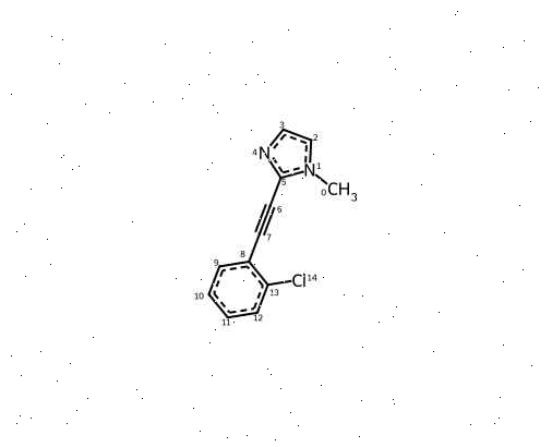 Cn1ccnc1C#Cc1ccccc1Cl